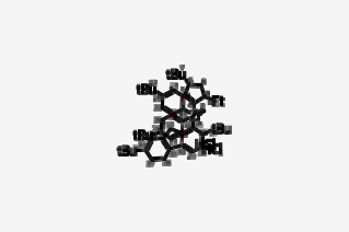 Cl.Cl.[CH2]=[Zr]([C]1=CC(C(C)(C)C)=CC1CC)([c]1ccc(C(C)(C)C)cc1)([c]1ccc(C(C)(C)C)cc1)[c]1c(C(C)(C)C)ccc2c1Cc1cc(C(C)(C)C)ccc1-2